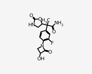 CC(C(N)=O)(c1ccc(N2CC(O)C2=O)c(F)c1)C1CNC(=O)O1